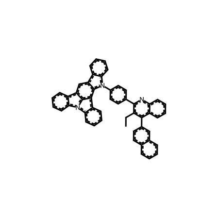 CCc1c(-c2ccc(-n3c4ccccc4c4cc5c6ccccc6n6c7ccccc7c(c43)c56)cc2)nc2ccccc2c1-c1ccc2ccccc2c1